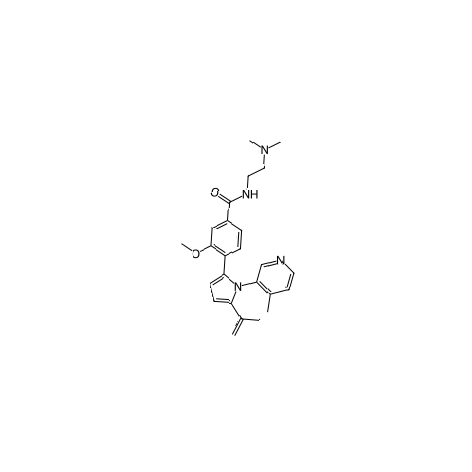 C=C(C)c1ccc(-c2ccc(C(=O)NCCN(C)C)cc2OC)n1-c1cnccc1C